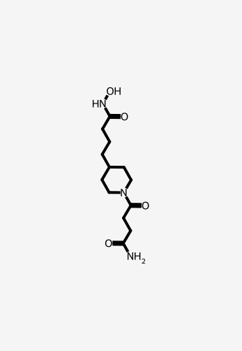 NC(=O)CCC(=O)N1CCC(CCCC(=O)NO)CC1